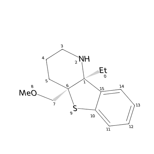 CC[C@@]12NCCC[C@]1(COC)Sc1ccccc12